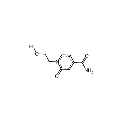 CCOCCn1ccc(C(N)=O)cc1=O